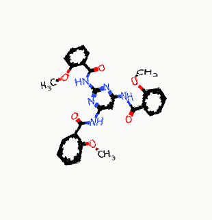 COc1ccccc1C(=O)Nc1cc(NC(=O)c2ccccc2OC)nc(NC(=O)c2ccccc2OC)n1